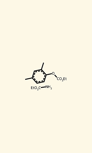 CCOC(=O)Oc1ccc(C)cc1C.CCOC(N)=O